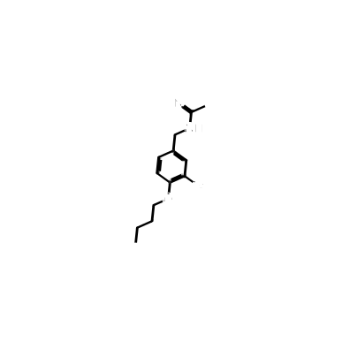 CCCCOc1ccc(CNC(C)=N)cc1Br